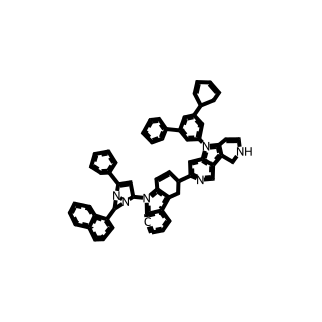 C1=CCC(c2cc(-c3ccccc3)cc(-n3c4c(c5cnc(C6C=Cc7c(c8ccccc8n7C7C=C(c8ccccc8)N8C(c9cccc%10ccccc9%10)N78)C6)cc53)CNC=C4)c2)C=C1